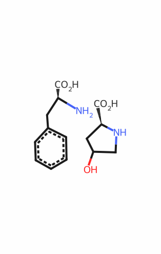 N[C@@H](Cc1ccccc1)C(=O)O.O=C(O)[C@@H]1CC(O)CN1